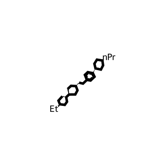 CCC[C@H]1CC[C@H](c2ccc(CC[C@H]3CC[C@H]([C@H]4CC[C@H](CC)CC4)CC3)cc2)CC1